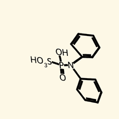 O=P(O)(N(c1ccccc1)c1ccccc1)S(=O)(=O)O